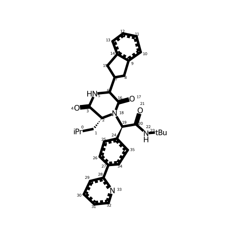 CC(C)C[C@@H]1C(=O)NC(C2Cc3ccccc3C2)C(=O)N1[C@@H](C(=O)NC(C)(C)C)c1ccc(-c2ccccn2)cc1